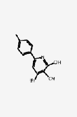 Cc1ccc(-c2cc(C(C)C)c(C#N)c(O)n2)cc1